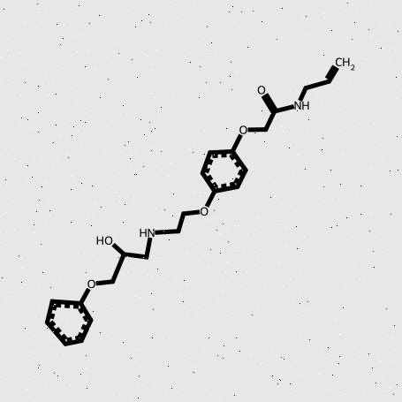 C=CCNC(=O)COc1ccc(OCCNCC(O)COc2ccccc2)cc1